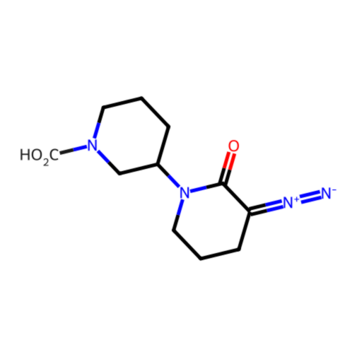 [N-]=[N+]=C1CCCN(C2CCCN(C(=O)O)C2)C1=O